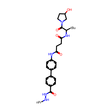 CCCNNC(=O)c1ccc(-c2ccc(NC(=O)CCC(=O)NC(C(=O)N3CCC(O)C3)C(C)(C)C)cc2)cc1